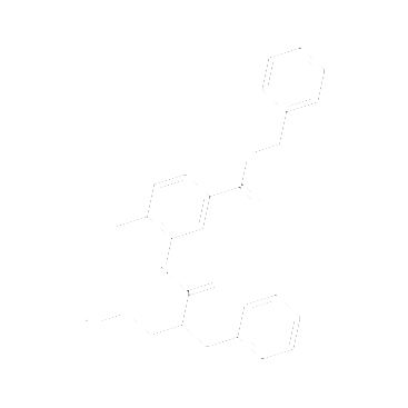 CC(=O)SCC(Cc1ccccc1)C(=O)Nc1cc(C(=O)OCc2ccccc2)ccc1C